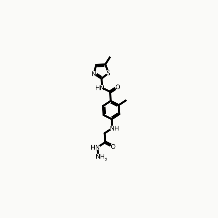 Cc1cnc(NC(=O)c2ccc(NCC(=O)NN)cc2C)s1